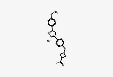 CCc1ccc(C2CC(c3ccc(CN4CC(C(=O)[O-])C4)cc3)=NO2)cc1.[Na+]